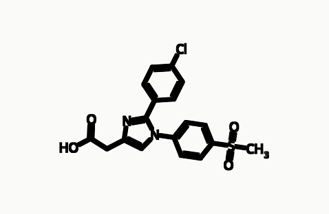 CS(=O)(=O)c1ccc(-n2cc(CC(=O)O)nc2-c2ccc(Cl)cc2)cc1